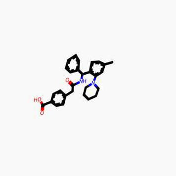 Cc1ccc(C(NC(=O)Cc2ccc(C(=O)O)cc2)c2ccccc2)c(N2CCCCC2)c1